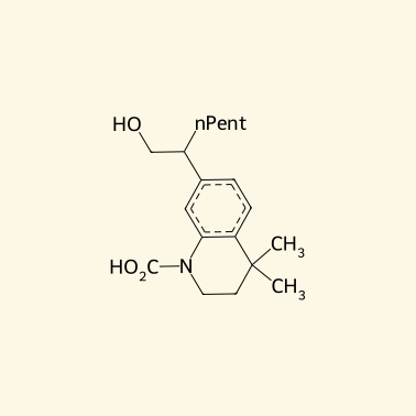 CCCCCC(CO)c1ccc2c(c1)N(C(=O)O)CCC2(C)C